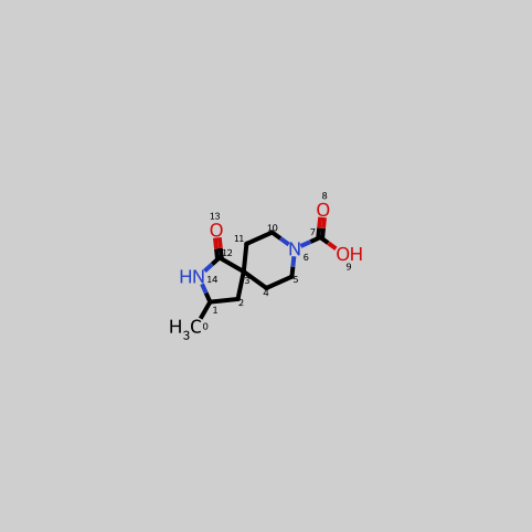 CC1CC2(CCN(C(=O)O)CC2)C(=O)N1